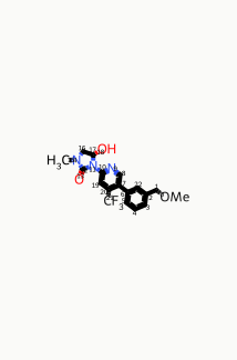 COCc1cccc(-c2cnc(N3C(=O)N(C)CC3O)cc2C(F)(F)F)c1